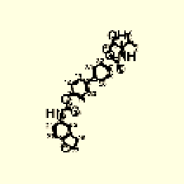 CC(C)[C@@H](NS(=O)(=O)c1ccc(-c2ccc(OC(=O)Nc3ccc4c(c3)CCO4)cc2)cc1)C(=O)O